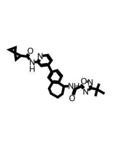 CC(C)(C)c1noc(C(=O)NC2CCCCc3cc(-c4ccnc(NC(=O)C5CC56CC6)c4)ccc32)n1